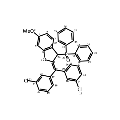 COc1ccc2c(c1)OC(=C(c1cccc(Cl)c1)c1cccc(Cl)c1)C2P(=O)(c1ccccc1)c1ccccc1